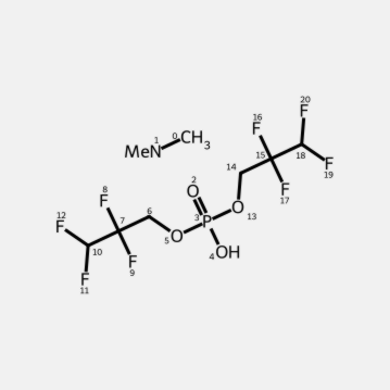 CNC.O=P(O)(OCC(F)(F)C(F)F)OCC(F)(F)C(F)F